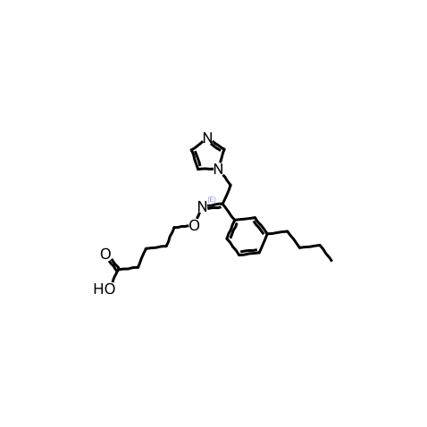 CCCCc1cccc(/C(Cn2ccnc2)=N\OCCCCC(=O)O)c1